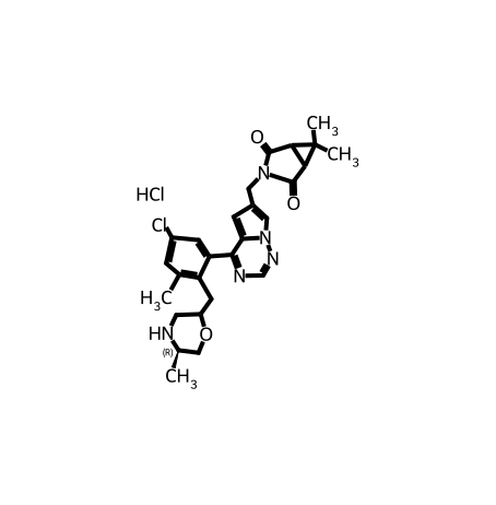 Cc1cc(Cl)cc(-c2ncnn3cc(CN4C(=O)C5C(C4=O)C5(C)C)cc23)c1CC1CN[C@H](C)CO1.Cl